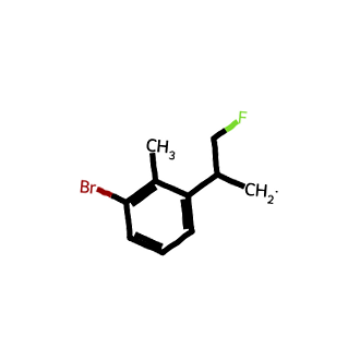 [CH2]C(CF)c1cccc(Br)c1C